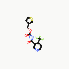 O=C(NC(=O)c1cnccc1C(F)(F)F)OCc1ccsc1